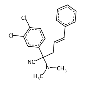 CN(C)C(C#N)(C/C=C/c1ccccc1)c1ccc(Cl)c(Cl)c1